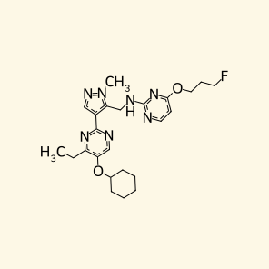 CCc1nc(-c2cnn(C)c2CNc2nccc(OCCCF)n2)ncc1OC1CCCCC1